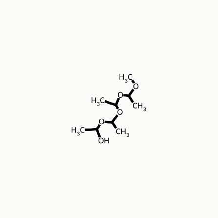 COC(C)OC(C)OC(C)OC(C)O